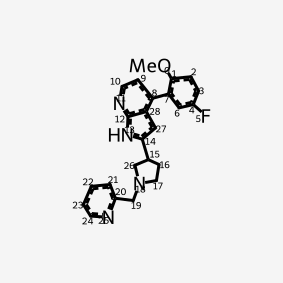 COc1ccc(F)cc1-c1ccnc2[nH]c(C3CCN(Cc4ccccn4)C3)cc12